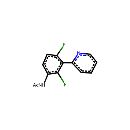 CC(=O)Nc1ccc(F)c(-c2ccccn2)c1F